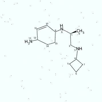 C[C@@H](CNC1CCC1)NC1C=CC(N)CC1